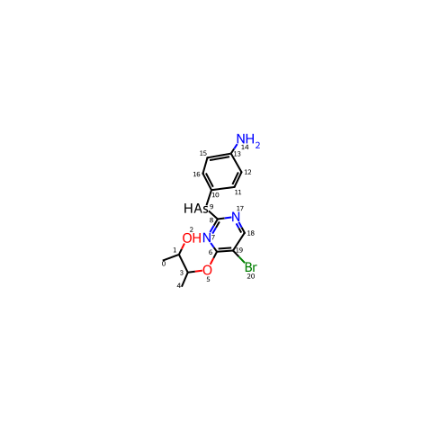 CC(O)C(C)Oc1nc([AsH]c2ccc(N)cc2)ncc1Br